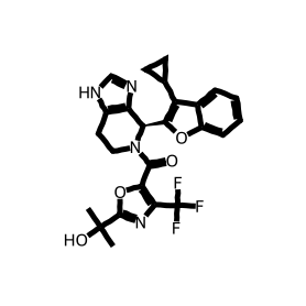 CC(C)(O)c1nc(C(F)(F)F)c(C(=O)N2CCc3[nH]cnc3[C@H]2c2oc3ccccc3c2C2CC2)o1